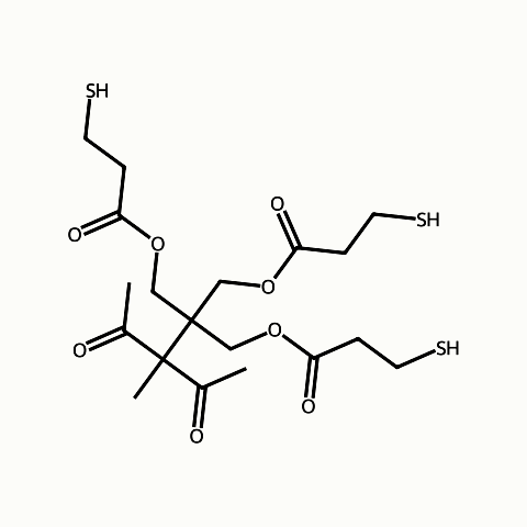 CC(=O)C(C)(C(C)=O)C(COC(=O)CCS)(COC(=O)CCS)COC(=O)CCS